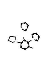 Fc1ccc(N2CCCC2)c(F)c1-[c-]1cccc1.[Ti+2].c1cc[cH-]c1